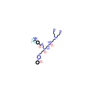 COc1ccccc1N1CCN(CCCC(=O)N(CCNCC(=O)NCCCN(CCCC#N)CCCC#N)CCN(C)C(=O)c2ccc(C3(C(F)(F)F)N=N3)cc2)CC1